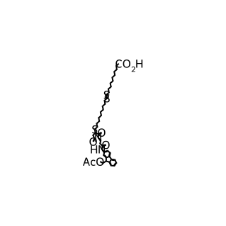 CC(=O)OCC1c2ccccc2-c2ccc(NC(=O)CCN3C(=O)CC(SCCCCCCCCCCSSCCCCCCCCCCC(=O)O)C3=O)cc21